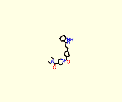 CCN(CC)C(=O)C1CCN(C(=O)c2ccc(C=Cc3n[nH]c4ccccc34)cc2)CC1